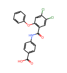 O=C(O)c1ccc(NC(=O)c2cc(Cl)c(Cl)cc2Oc2ccccc2)cc1